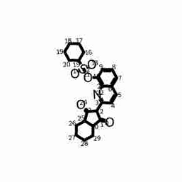 O=C1C(c2ccc3cccc(OS(=O)(=O)C4CCCCC4)c3n2)C(=O)C2CCCCC12